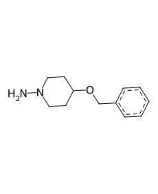 NN1CCC(OCc2ccccc2)CC1